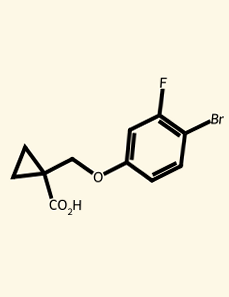 O=C(O)C1(COc2ccc(Br)c(F)c2)CC1